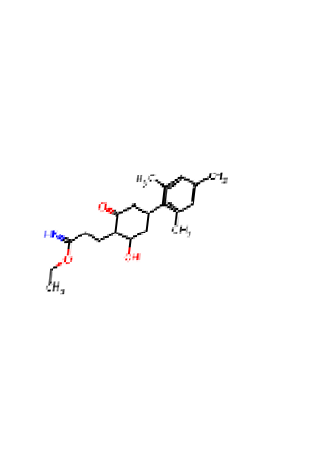 CCOC(=N)CC[C]1C(=O)CC(c2c(C)cc(C)cc2C)CC1O